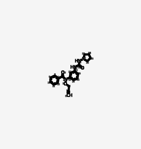 C#CCON(C(=O)c1ccccc1)c1cccc(NC(=O)NN2CCCC2)c1